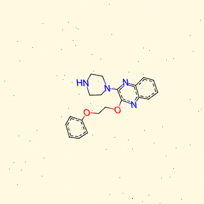 c1ccc(OCCOc2nc3ccccc3nc2N2CCNCC2)cc1